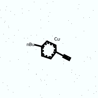 C#Cc1ccc(CCCC)cc1.[Cu]